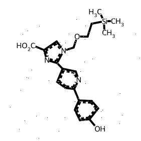 C[Si](C)(C)CCOCn1cc(C(=O)O)nc1-c1ccc(-c2ccc(O)cc2)nc1